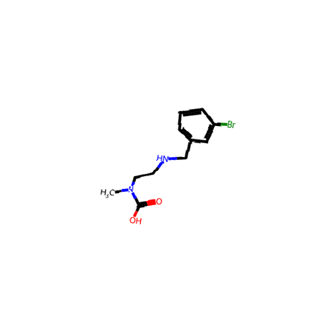 CN(CCNCc1cccc(Br)c1)C(=O)O